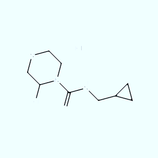 CC1CNCCN1C(=O)NCC1CC1.Cl